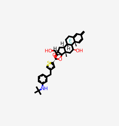 C=C1C=C[C@@]2(C)C(=C1)CC[C@H]1[C@@H]3C[C@H]4O[C@@H](c5cc(Cc6cccc(NC(C)(C)C)c6)cs5)O[C@@]4(C(=O)CO)[C@@]3(C)C[C@H](O)[C@@]12F